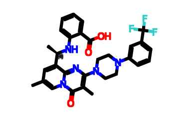 Cc1cc([C@@H](C)Nc2ccccc2C(=O)O)c2nc(N3CCN(c4cccc(C(F)(F)F)c4)CC3)c(C)c(=O)n2c1